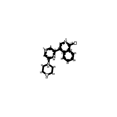 Clc1ncc(-c2cncc(N3CCOCC3)n2)c2ccccc12